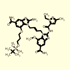 CCn1nc(C)cc1C(=O)Nc1nc2cc(C(N)=O)cc(OC)c2n1C/C=C/Cn1c(N)nc2cc(C(N)=O)cc(OCCCO[Si](C)(C)C(C)(C)C)c21